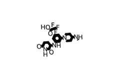 CNC1CCN(c2cccc(NC3CCC(=O)NC3=O)c2)CC1.O=C(O)C(F)(F)F